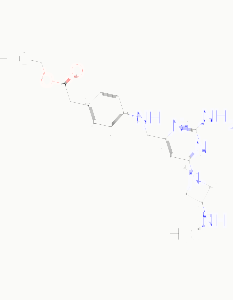 CCOC(=O)Cc1ccc(NCc2cc(N3CC(NC)C3)nc(N)n2)cc1